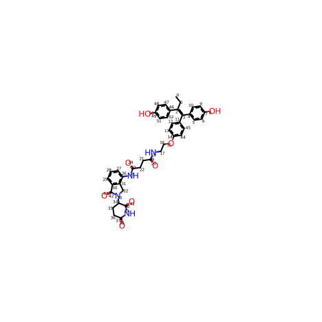 CCC(=C(c1ccc(O)cc1)c1ccc(OCCNC(=O)CCC(=O)Nc2cccc3c2CN(C2CCC(=O)NC2=O)C3=O)cc1)c1ccc(O)cc1